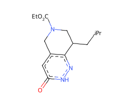 CCOC(=O)N1Cc2cc(=O)[nH]nc2C(CC(C)C)C1